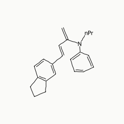 C=C(/C=C/c1ccc2c(c1)CCC2)N(CCC)c1ccccc1